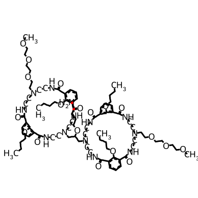 CCCCOc1c2cccc1C(=O)NCCN(CC(CN1CCNC(=O)c3cccc(c3OCCCC)C(=O)NCCN(CCOCCOCCOC)CCNC(=O)c3cccc(c3OCCCC)C(=O)NCC1)OCCCCN)CCNC(=O)c1cccc(c1OCCCC)C(=O)NCCN(CCOCCOCCOC)CCNC2=O